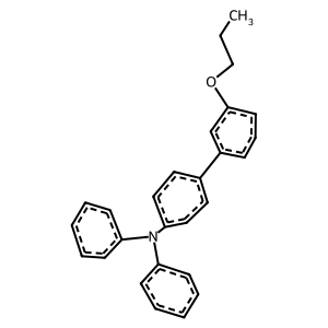 CCCOc1cccc(-c2ccc(N(c3ccccc3)c3ccccc3)cc2)c1